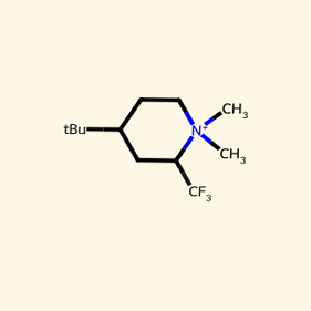 CC(C)(C)C1CC[N+](C)(C)C(C(F)(F)F)C1